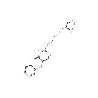 S=c1[nH]c(NCCSCc2cnsn2)ncc1Cc1cccnc1